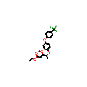 CCOC(=O)C=C(OC)C(C)Oc1ccc(Oc2ccc(C(F)(F)F)cc2)cc1